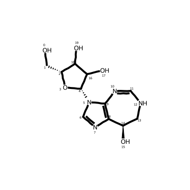 OC[C@H]1O[C@@H](n2cnc3c2N=CNC[C@H]3O)C(O)C1O